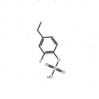 CCc1ccc(OS(=O)(=O)O)c(F)c1